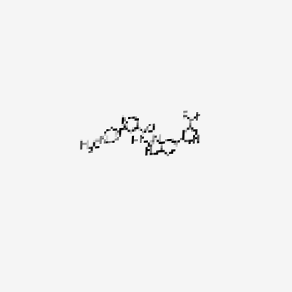 CN1CCN(c2cc(C(=O)Nc3ncc4ccc(-c5cncc(C(F)F)c5)cc4n3)ccn2)CC1